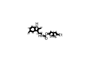 CCc1cc2cc(OC(=O)NCCc3c(C)[nH]c4ccc(C)cc34)sc2s1